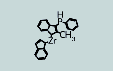 CC1=C(Pc2ccccc2)c2ccccc2[CH]1[Zr][CH]1C=Cc2ccccc21